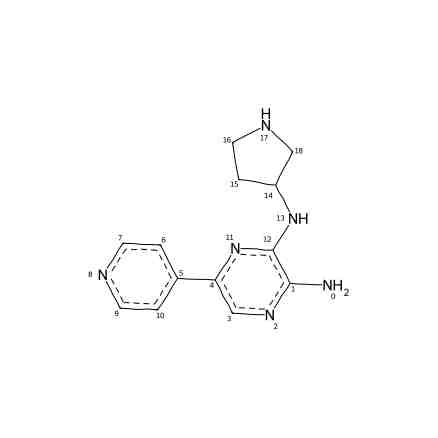 Nc1ncc(-c2ccncc2)nc1NC1CCNC1